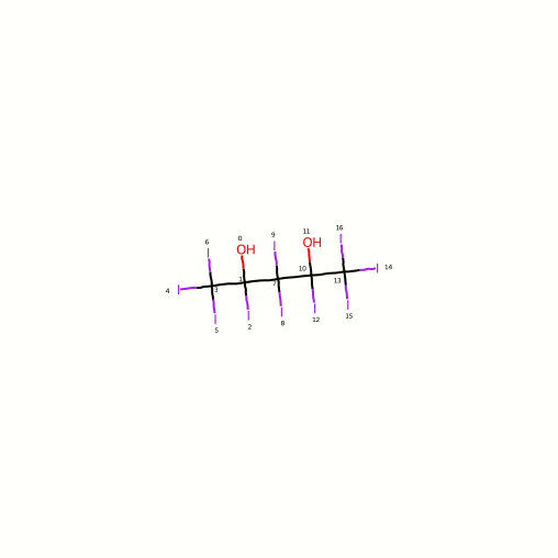 OC(I)(C(I)(I)I)C(I)(I)C(O)(I)C(I)(I)I